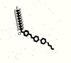 CCCCC[C@H]1CC[C@H](C2CCC(CCc3ccc(C(=O)C(F)(F)C(F)(F)C(F)(F)C(F)(F)C(F)(F)C(F)(F)C(F)(F)C(F)(F)F)cc3)CC2)CC1